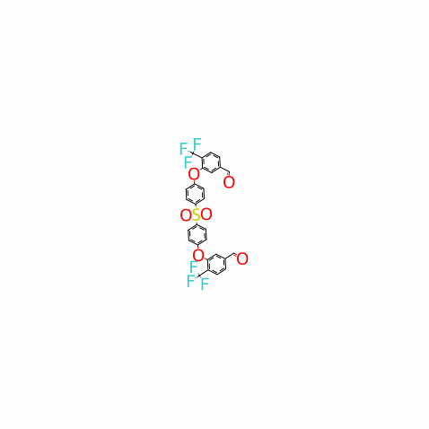 O=Cc1ccc(C(F)(F)F)c(Oc2ccc(S(=O)(=O)c3ccc(Oc4cc(C=O)ccc4C(F)(F)F)cc3)cc2)c1